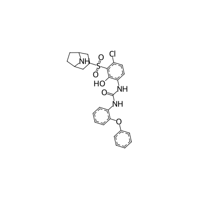 O=C(Nc1ccccc1Oc1ccccc1)Nc1ccc(Cl)c(S(=O)(=O)C2CC3CCC(C2)N3)c1O